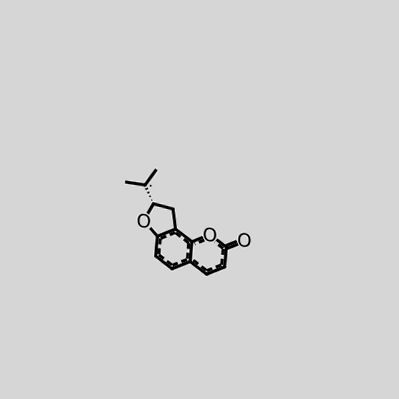 C[C](C)[C@@H]1Cc2c(ccc3ccc(=O)oc23)O1